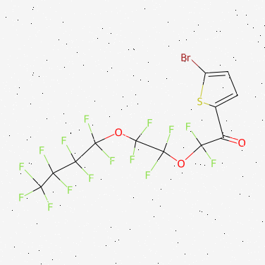 O=C(c1ccc(Br)s1)C(F)(F)OC(F)(F)C(F)(F)OC(F)(F)C(F)(F)C(F)(F)C(F)(F)F